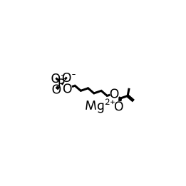 C=C(C)C(=O)OCCCCCCOP(=O)([O-])[O-].[Mg+2]